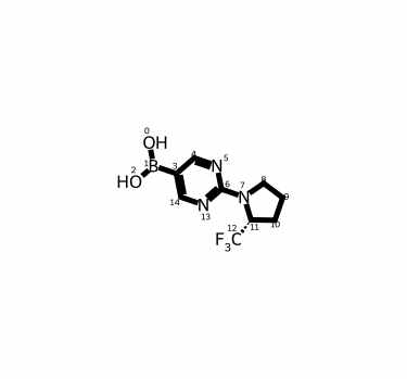 OB(O)c1cnc(N2CCC[C@@H]2C(F)(F)F)nc1